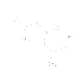 COB(OC(C)C)OC(C)C